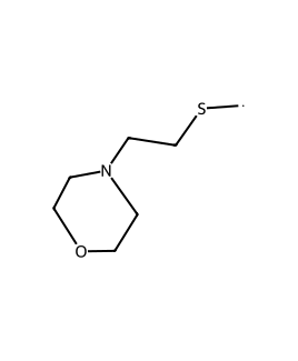 [CH2]SCCN1CCOCC1